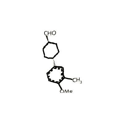 COc1ccc([C@H]2CC[C@H](C=O)CC2)cc1C